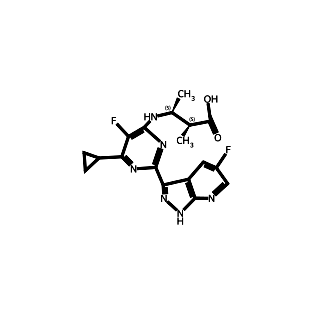 C[C@H](Nc1nc(-c2n[nH]c3ncc(F)cc23)nc(C2CC2)c1F)[C@H](C)C(=O)O